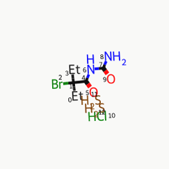 CCC(Br)(CC)C(=O)NC(N)=O.Cl.S.S